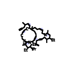 C#CCC(C)/C=C\C1C/C=C\CCN/C(C(C)C(CC)C(C)C(C)C)=N\C(CC)/C=C\CCC1(C)CC/C=C\C/N=C(\C)CC(CC)C(C)CC#CCC=C